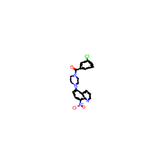 O=C(c1cccc(Cl)c1)N1CCN(c2ccc([N+](=O)[O-])c3ncccc23)CC1